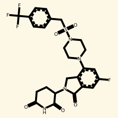 O=C1CCC(N2Cc3c(cc(F)cc3N3CCN(S(=O)(=O)Cc4ccc(C(F)(F)F)cc4)CC3)C2=O)C(=O)N1